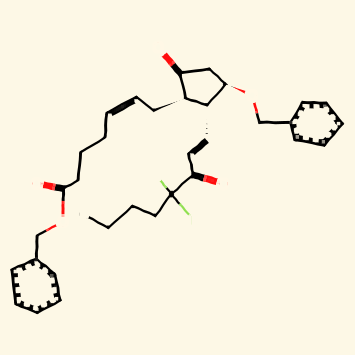 CCCCC(F)(F)C(=O)/C=C/[C@H]1[C@H](OCc2ccccc2)CC(=O)[C@@H]1C/C=C\CCCC(=O)OCc1ccccc1